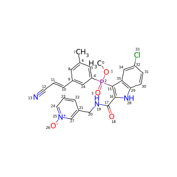 COP(=O)(c1cc(C)cc(/C=C/C#N)c1)c1c(C(=O)NCc2ccc[n+]([O-])c2)[nH]c2ccc(Cl)cc12